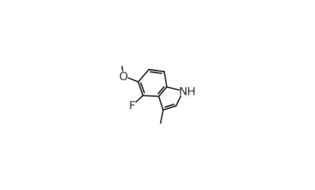 COc1ccc2[nH]cc(C)c2c1F